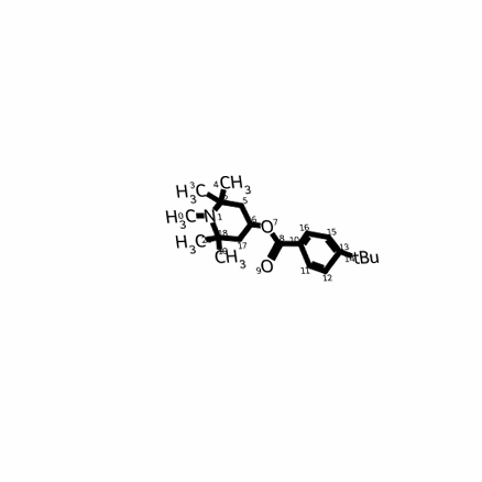 CN1C(C)(C)CC(OC(=O)c2ccc(C(C)(C)C)cc2)CC1(C)C